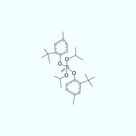 [CH2]=[Ti]([O]c1ccc(C)cc1C(C)(C)C)([O]c1ccc(C)cc1C(C)(C)C)([O]C(C)C)[O]C(C)C